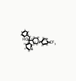 OC(Cc1ccccc1)(c1cccnc1)C1CCN(c2ccc(C(F)(F)F)nc2)CC1